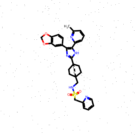 Cc1cccc(-c2[nH]c(C34CCC(CNS(=O)(=O)Cc5ccccn5)(CC3)CC4)nc2-c2ccc3c(c2)OCO3)n1